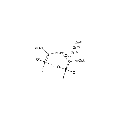 CCCCCCCCS(CCCCCCCC)=P([O-])([O-])[S-].CCCCCCCCS(CCCCCCCC)=P([O-])([O-])[S-].[Zn+2].[Zn+2].[Zn+2]